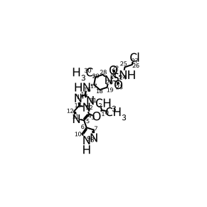 CC(C)Oc1c(-c2cn[nH]c2)ncc2nc(N[C@H]3CCN(S(=O)(=O)NCCCl)C[C@H]3C)nn12